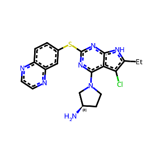 CCc1[nH]c2nc(Sc3ccc4nccnc4c3)nc(N3CC[C@@H](N)C3)c2c1Cl